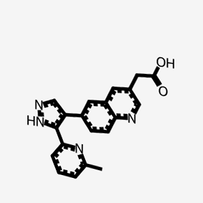 Cc1cccc(-c2[nH]ncc2-c2ccc3ncc(CC(=O)O)cc3c2)n1